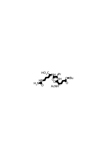 CC(=O)N[C@@H](CCC(=O)OC(C)(C)C)C(=O)N[C@H](C(=O)N[C@@H](CCCNC(N)=O)C(=O)O)C(C)C